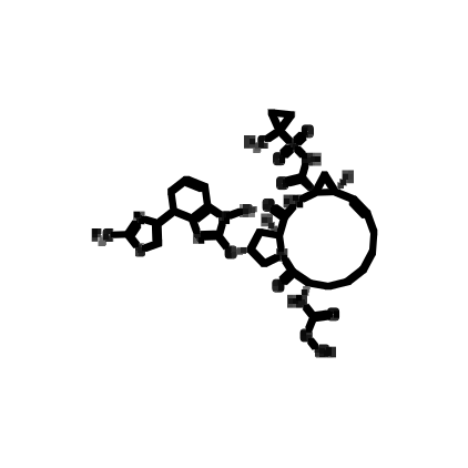 CC(C)n1c(O[C@@H]2C[C@H]3C(=O)N[C@]4(C(=O)NS(=O)(=O)C5(C)CC5)C[C@H]4/C=C\CCCCC[C@H](NC(=O)OC(C)(C)C)C(=O)N3C2)nc2c1C=CCC2c1csc(C(F)(F)F)n1